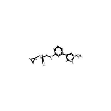 Cn1cc(-c2c[c]cc(OCC(=O)NC3CC3)c2)cn1